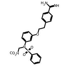 N=C(N)c1ccc(CCOc2cccc(N(CC(=O)O)S(=O)(=O)c3ccccc3)c2)cc1